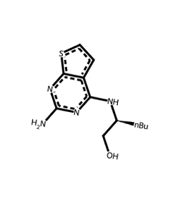 CCCC[C@@H](CO)Nc1nc(N)nc2sccc12